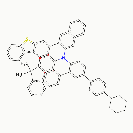 CC1(C)c2ccccc2-c2cc(N(c3ccc(-c4ccc(C5CCCCC5)cc4)cc3-c3ccccc3)c3cc4ccccc4cc3-c3ccc4c(c3)sc3ccccc34)ccc21